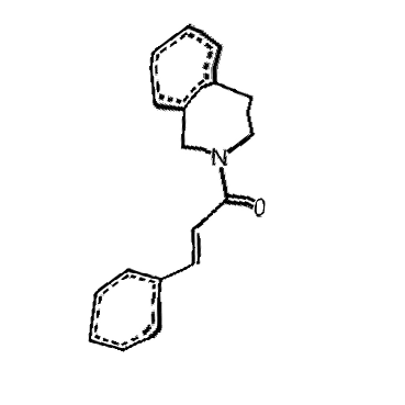 O=C(/C=C/c1ccccc1)N1CCc2ccccc2C1